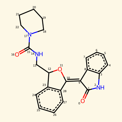 O=C1Nc2ccccc2C1=C1OC(CNC(=O)N2CCCCC2)c2ccccc21